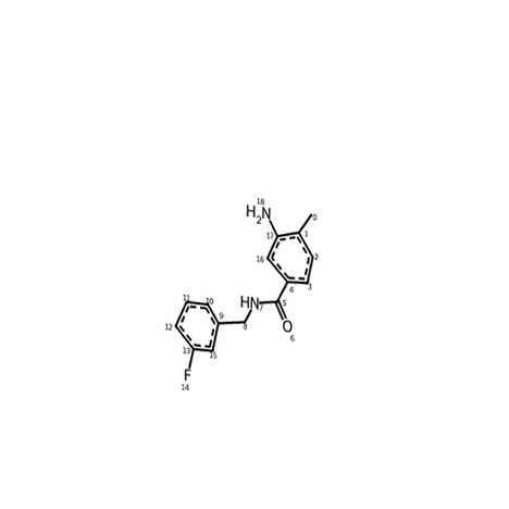 Cc1ccc(C(=O)NCc2cccc(F)c2)cc1N